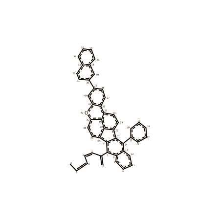 C=C(/C=C\C=C/C)c1c2ccccc2c(-c2ccccc2)c2c3ccc4c5ccc(-c6ccc7ccccc7c6)cc5oc5ccc(c12)c3c54